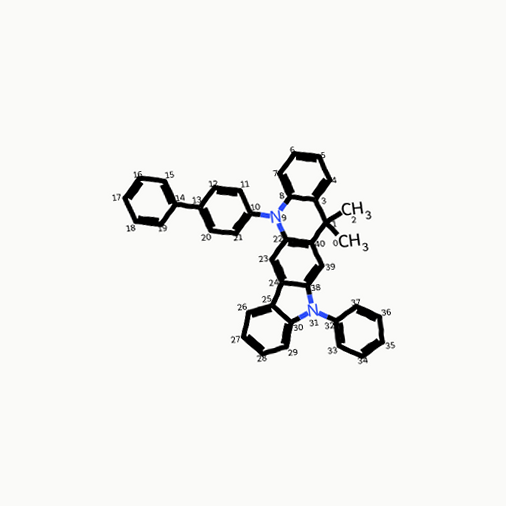 CC1(C)c2ccccc2N(c2ccc(-c3ccccc3)cc2)c2cc3c4ccccc4n(-c4ccccc4)c3cc21